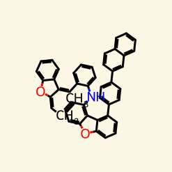 C/C=c1/oc2ccccc2/c1=C(/C)c1ccccc1Nc1c#ccc2oc3cccc(-c4ccc(-c5ccc6ccccc6c5)cc4)c3c12